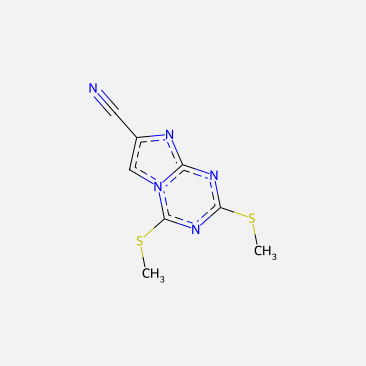 CSc1nc(SC)n2cc(C#N)nc2n1